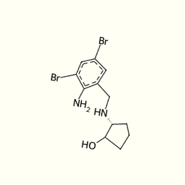 Nc1c(Br)cc(Br)cc1CN[C@@H]1CCCC1O